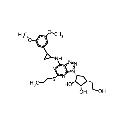 CCCSc1nc(NC2CC2c2cc(OC)cc(OC)c2)c2nnn([C@@H]3C[C@H](CCO)[C@@H](O)[C@H]3O)c2n1